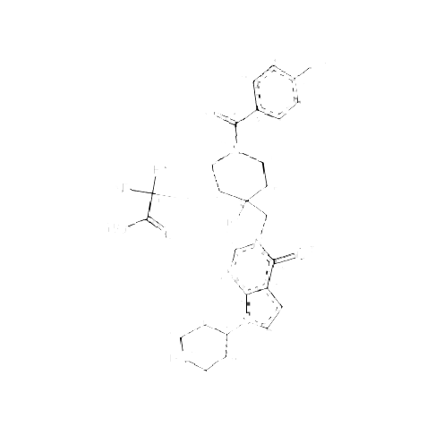 O=C(O)C(F)(F)F.O=C(c1ccc(F)cc1)N1CCC(O)(Cn2cnc3c(ccn3C3CCNCC3)c2=O)CC1